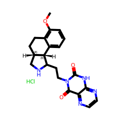 COc1cccc2c1CC[C@H]1CNC(CCn3c(=O)[nH]c4nccnc4c3=O)[C@@H]21.Cl